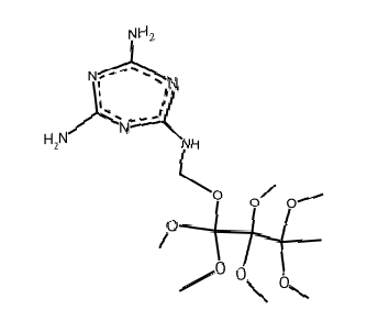 COC(C)(OC)C(OC)(OC)C(OC)(OC)OCNc1nc(N)nc(N)n1